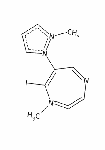 C[N+]1=C=CN=CC(n2ccc[n+]2C)=C1I